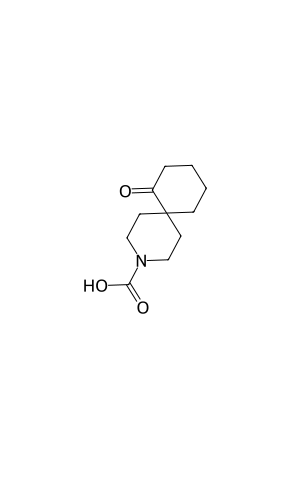 O=C(O)N1CCC2(CCCCC2=O)CC1